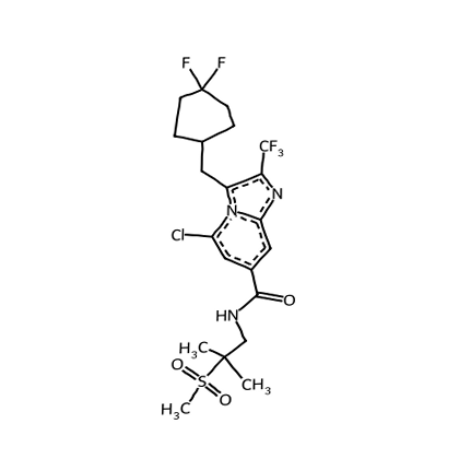 CC(C)(CNC(=O)c1cc(Cl)n2c(CC3CCC(F)(F)CC3)c(C(F)(F)F)nc2c1)S(C)(=O)=O